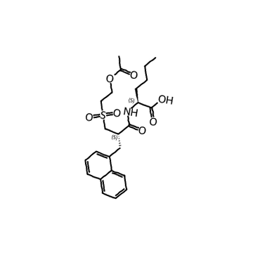 CCCC[C@H](NC(=O)[C@H](Cc1cccc2ccccc12)CS(=O)(=O)CCOC(C)=O)C(=O)O